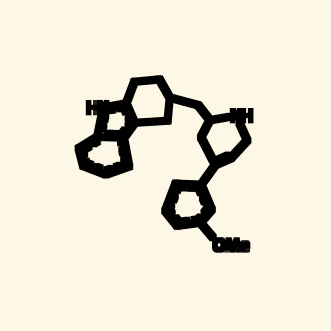 COc1cccc(C2=CCNC(CC3CCc4[nH]c5ccccc5c4C3)C2)c1